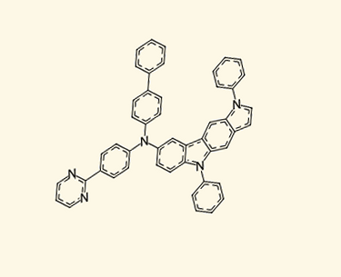 c1ccc(-c2ccc(N(c3ccc(-c4ncccn4)cc3)c3ccc4c(c3)c3cc5c(ccn5-c5ccccc5)cc3n4-c3ccccc3)cc2)cc1